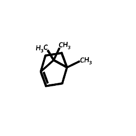 CC12CC=C(CC1)C2(C)C